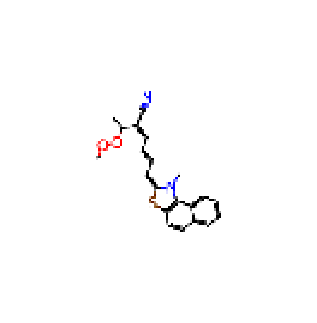 COOC(C)C(C#N)=CC=CC=C1Sc2ccc3ccccc3c2N1C